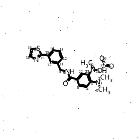 CN(C)c1ccc(C(=O)NCc2cccc(-c3nccs3)c2)cc1N(C)O[SH](=O)=O